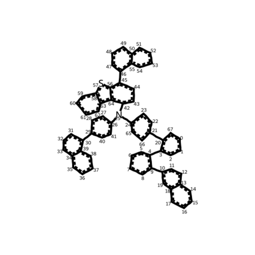 c1ccc(-c2ccccc2-c2ccc3ccccc3c2)c(-c2ccc(N(c3ccc(-c4cccc5ccccc45)cc3)c3ccc(-c4cccc5ccccc45)c4sc5ccccc5c34)cc2)c1